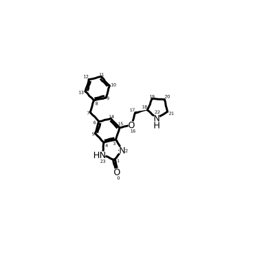 O=C1[N]c2c(cc(Cc3ccccc3)cc2OC[C@H]2CCCN2)N1